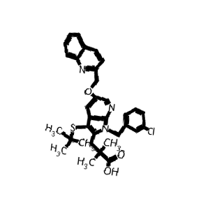 CC(C)(C)Sc1c(CC(C)(C)C(=O)O)n(Cc2cccc(Cl)c2)c2ncc(OCc3ccc4ccccc4n3)cc12